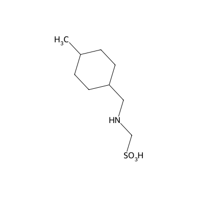 CC1CCC(CNCS(=O)(=O)O)CC1